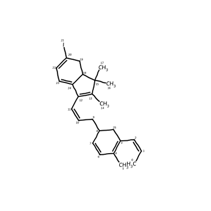 C/C=C\C1=C(C)C=CC(C/C=C\C2=C(C)C(C)(C)C3CC(I)=CC=C23)C1